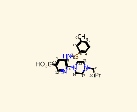 Cc1cccc(SNc2cc(C(=O)O)cnc2N2CCN(CC(C)C)CC2)c1